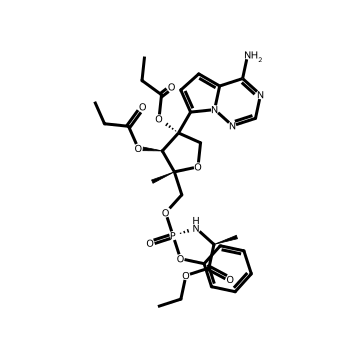 CCOC(=O)[C@H](C)N[P@](=O)(OC[C@@]1(C)OC[C@](OC(=O)CC)(c2ccc3c(N)ncnn23)[C@@H]1OC(=O)CC)Oc1ccccc1